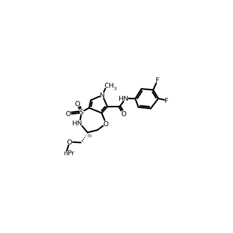 CCCOC[C@H]1COc2c(cn(C)c2C(=O)Nc2ccc(F)c(F)c2)S(=O)(=O)N1